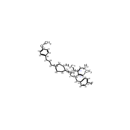 C=NC(=C/C)/C(=C\C)N(CNC1CCN(CCCc2ccc(OC)cc2)CC1)Cc1ccc(F)cc1